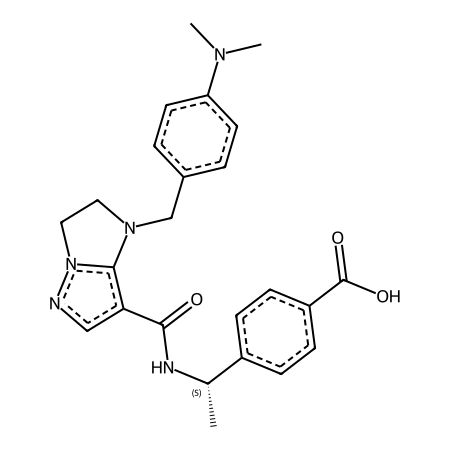 C[C@H](NC(=O)c1cnn2c1N(Cc1ccc(N(C)C)cc1)CC2)c1ccc(C(=O)O)cc1